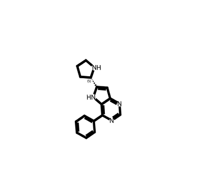 c1ccc(-c2ncnc3cc([C@@H]4CCCN4)[nH]c23)cc1